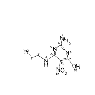 CC(C)CCNc1nc(N)nc(O)c1[N+](=O)[O-]